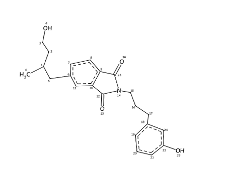 CC(CCO)Cc1ccc2c(c1)C(=O)N(CCCc1cccc(O)c1)C2=O